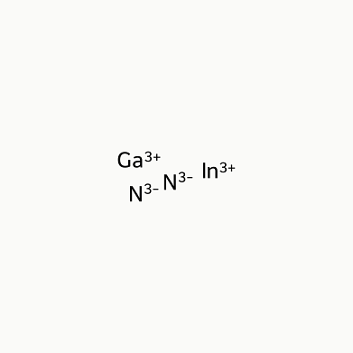 [Ga+3].[In+3].[N-3].[N-3]